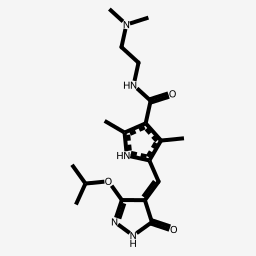 Cc1[nH]c(C=C2C(=O)NN=C2OC(C)C)c(C)c1C(=O)NCCN(C)C